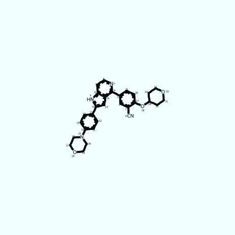 N#Cc1cc(-c2nccc3[nH]c(-c4ccc(N5CCOCC5)cc4)cc23)ccc1OC1CCOCC1